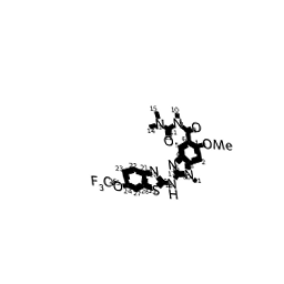 COc1cc2c(cc1C(=O)N(C)C(=O)N(C)C)nc(Nc1nc3ccc(OC(F)(F)F)cc3s1)n2C